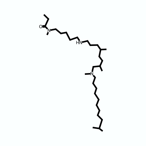 CCC(=O)N(C)CCCCCNCCCC(C)CCC(C)CN(C)CCCCCCCCCC(C)C